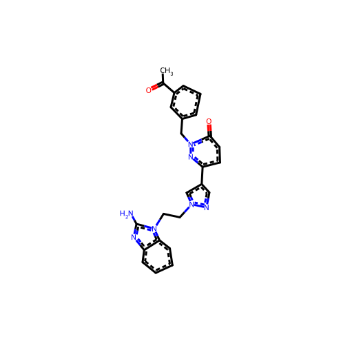 CC(=O)c1cccc(Cn2nc(-c3cnn(CCn4c(N)nc5ccccc54)c3)ccc2=O)c1